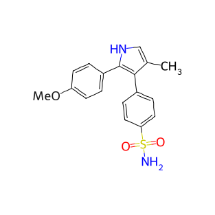 COc1ccc(-c2[nH]cc(C)c2-c2ccc(S(N)(=O)=O)cc2)cc1